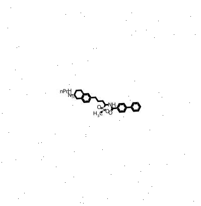 CCCN[C@H]1CCc2cc(CCCC(NC(=O)c3ccc(-c4ccccc4)cc3)S(C)(=O)=O)ccc2C1